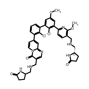 COc1cc(-c2ccc(CNC[C@@H]3CCC(=O)N3)c(OC)n2)c(Cl)c(-c2cccc(-c3ccn4c(=O)c(CNCC5CCC(=O)N5)cnc4c3)c2Cl)c1